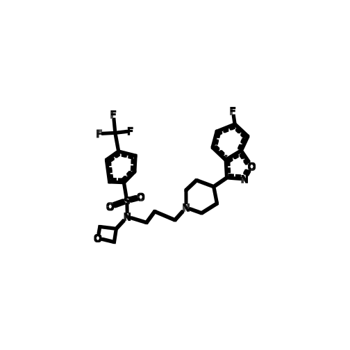 O=S(=O)(c1ccc(C(F)(F)F)cc1)N(CCCN1CCC(c2noc3cc(F)ccc23)CC1)C1COC1